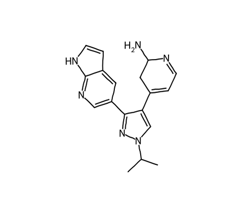 CC(C)n1cc(C2=CC=NC(N)C2)c(-c2cnc3[nH]ccc3c2)n1